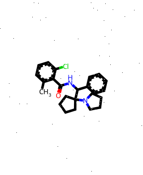 Cc1cccc(Cl)c1C(=O)NC(c1ccccc1)C1(N2CCCC2)CCCC1